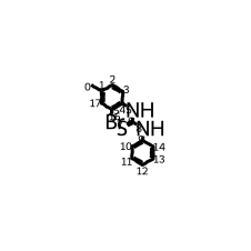 Cc1ccc(NC(=S)Nc2ccccc2)c(Br)c1